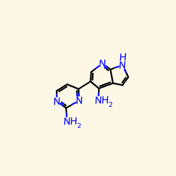 Nc1nccc(-c2cnc3[nH]ccc3c2N)n1